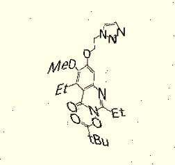 CCc1c(OC)c(OCCn2ccnn2)cc2nc(CC)n(OC(=O)C(C)(C)C)c(=O)c12